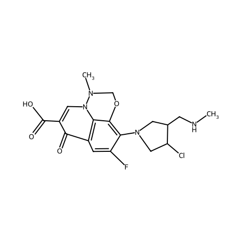 CNCC1CN(c2c(F)cc3c(=O)c(C(=O)O)cn4c3c2OCN4C)CC1Cl